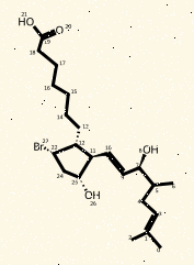 CC(C)=CCC(C)[C@H](O)/C=C/[C@@H]1[C@@H](CCCCCCC(=O)O)[C@@H](Br)C[C@H]1O